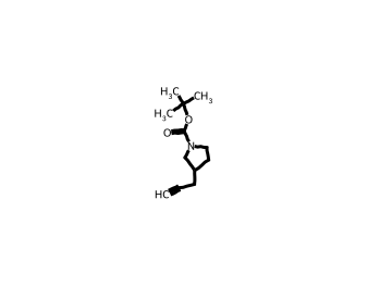 C#CCC1CCN(C(=O)OC(C)(C)C)C1